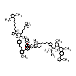 C=C1C=CC(=C)C1CCCCCCC(=O)C1(C(=O)C[C@@H](CCCCC(C)=O)C(=C)Cc2ccc(CCc3ccc(C)cc3-c3ccc(C)c(C4CC5CCC(C4)C5c4cccc(CCCC5CCC(CCCC6=CCC([C@H](C(=C)C7C[C@H](C)C[C@H]7C(=O)C[C@@H](C)c7ccc(C8=C(C)C=CC8)cc7)C(C)C)=C6)C[C@H]5C)c4)c3)cc2)CCC1